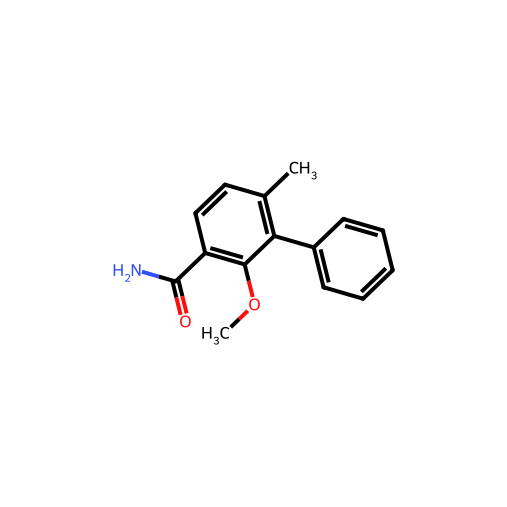 COc1c(C(N)=O)ccc(C)c1-c1ccccc1